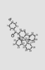 O=C(c1ccc(F)cc1)c1ccc2c(c1)C1(c3ccccc3-c3ccccc31)c1ccccc1-2